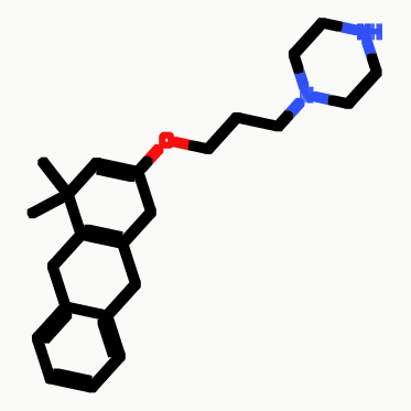 CC1(C)C=C(OCCCN2CCNCC2)CC2=C1Cc1ccccc1C2